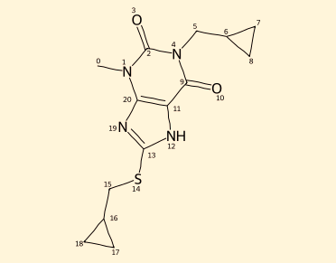 Cn1c(=O)n(CC2CC2)c(=O)c2[nH]c(SCC3CC3)nc21